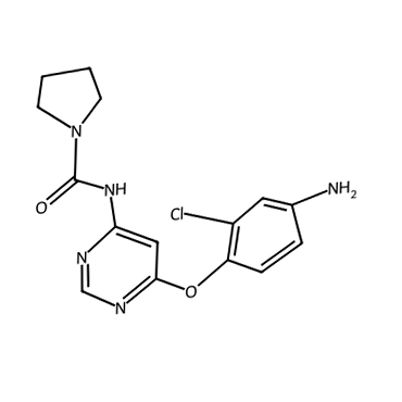 Nc1ccc(Oc2cc(NC(=O)N3CCCC3)ncn2)c(Cl)c1